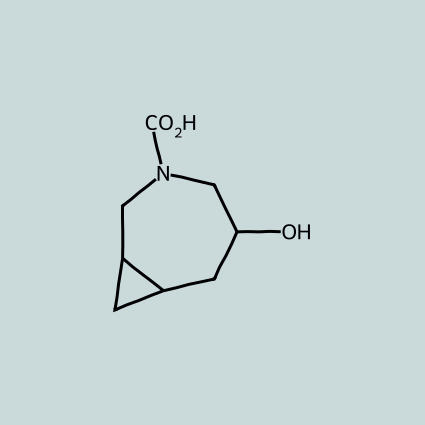 O=C(O)N1CC(O)CC2CC2C1